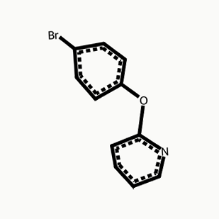 Brc1ccc(Oc2cc[c]cn2)cc1